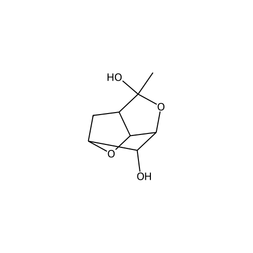 CC1(O)OC2C(O)C3CC1C2O3